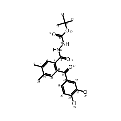 Cc1cc(C(=O)NNC(=O)OC(C)(C)C)c(C(=O)c2ccc(Cl)c(Cl)c2)cc1C